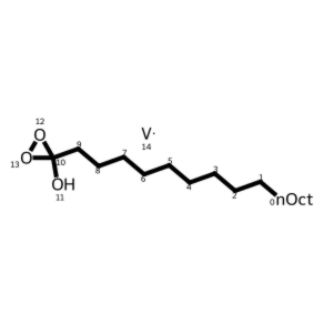 CCCCCCCCCCCCCCCCCC1(O)OO1.[V]